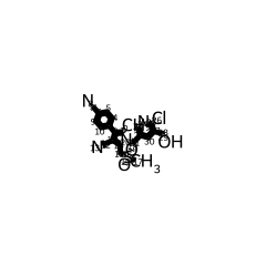 Cc1c(-c2ccc(C#N)cc2)c(C#N)c(CS(C)(=O)=O)n1Cc1cnc(Cl)c(CO)c1